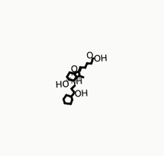 CO[C@]12CC[C@@H](O)[C@H](CCC(O)C3CCCCC3)[C@H]1C(C)C2=CCCCC(=O)O